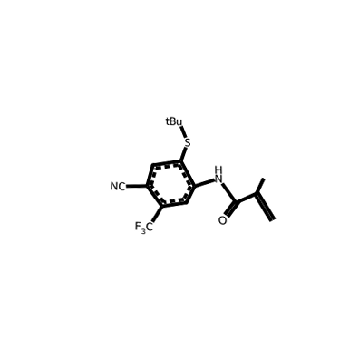 C=C(C)C(=O)Nc1cc(C(F)(F)F)c(C#N)cc1SC(C)(C)C